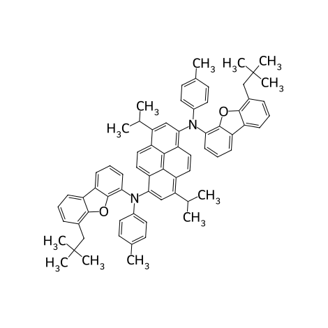 Cc1ccc(N(c2cc(C(C)C)c3ccc4c(N(c5ccc(C)cc5)c5cccc6c5oc5c(CC(C)(C)C)cccc56)cc(C(C)C)c5ccc2c3c54)c2cccc3c2oc2c(CC(C)(C)C)cccc23)cc1